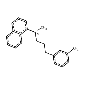 C[C@H](CCCc1cccc(C(F)(F)F)c1)c1cccc2ccccc12